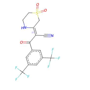 N#C/C(C(=O)c1cc(C(F)(F)F)cc(C(F)(F)F)c1)=C1\CS(=O)(=O)CCN1